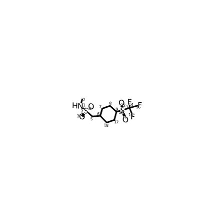 CNS(=O)(=O)CC1CCC(S(=O)(=O)C(F)(F)F)CC1